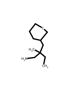 CCC(C)(CN)CC1CCCCC1